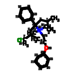 CC(C)CC(CC(C)C)(c1ccccc1)[N+](C)(C)CCOc1ccccc1.[Cl-]